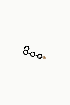 Brc1ccc(C2=CCC(C3=C4C=CC=CC4CC=C3)C=C2)cc1